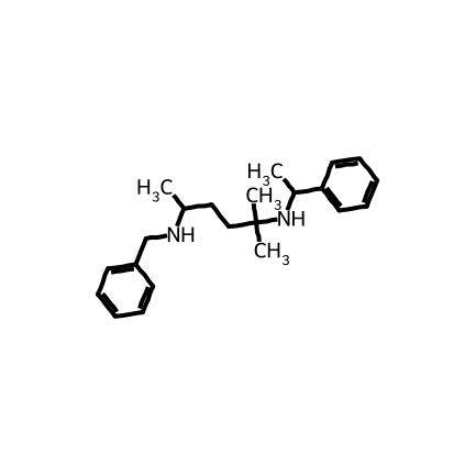 CC(CCC(C)(C)NC(C)c1ccccc1)NCc1ccccc1